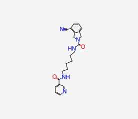 N#Cc1cccc2c1CN(C(=O)NCCCCCCNC(=O)c1cccnc1)C2